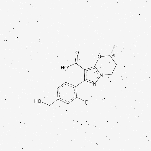 C[C@@H]1CCn2nc(-c3ccc(CO)cc3F)c(C(=O)O)c2O1